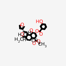 C=C1O[C@H](c2ccoc2)C[C@]2(C)[C@H]3C(=O)C(OC(=O)c4cccc(O)c4)=C[C@@H](C(=O)OC)[C@]3(C)CC[C@@H]12